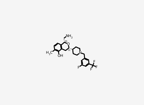 Cc1ccc2c(c1O)C[C@@H](C1CCN(Cc3cc(F)cc(C(F)(F)F)c3)CC1)O[C@H]2CN